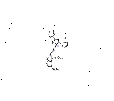 CCCCCCCCN1\C(=C/C=C/C=C2\N=C(c3cnccn3)N=C2c2ccccc2O)Sc2ccc(SC)cc21